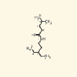 CCC(CC)CCNC(=O)CCC(C)C